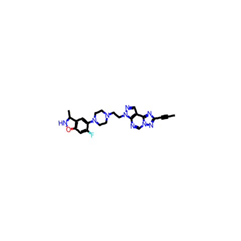 CC#Cc1nc2c3cnn(CCN4CCN(c5cc6c(cc5F)ONC6C)CC4)c3ncn2n1